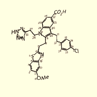 COc1ccc2sc(CCc3c(CCc4ccc(Cl)cc4)c4cc(C(=O)O)ccc4n3CCc3nn[nH]n3)nc2c1